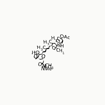 CNN(C)C(=O)C[C@@H]1C[C@@]2(CO2)[C@H](O)[C@@H](/C=C/C(C)=C/C[C@@H]2O[C@H](C)[C@H](NC(=O)/C=C\[C@H](C)OC(C)=O)C[C@@H]2C)O1